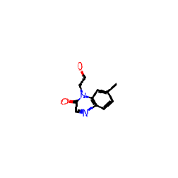 Cc1ccc2ncc(=O)n(CC=O)c2c1